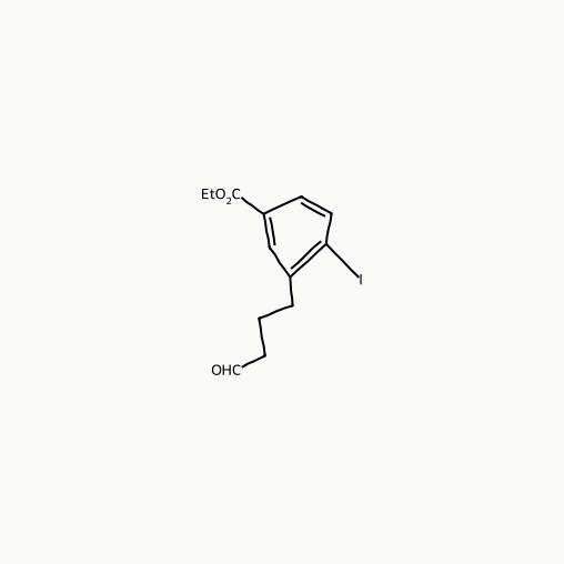 CCOC(=O)c1ccc(I)c(CCCC=O)c1